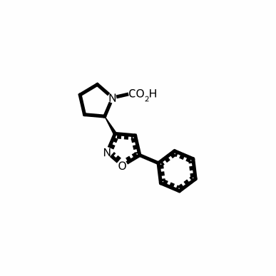 O=C(O)N1CCC[C@@H]1c1cc(-c2ccccc2)on1